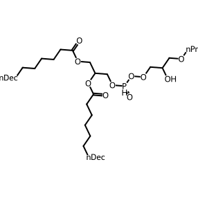 CCCCCCCCCCCCCCCC(=O)OCC(CO[PH](=O)OOCC(O)COCCC)OC(=O)CCCCCCCCCCCCCCC